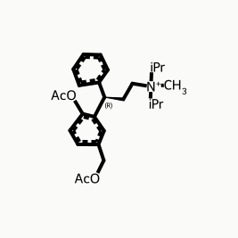 CC(=O)OCc1ccc(OC(C)=O)c([C@H](CC[N+](C)(C(C)C)C(C)C)c2ccccc2)c1